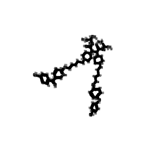 CC(C)NC(=O)C(C(C(=O)NC(C)C)N1CCN(CCCCCOc2ccc(C(=O)c3ccc(Cl)cc3)cn2)CC1)N1CCN(CCCCCOc2ccc(Oc3ccc(Cl)cc3)cc2)CC1